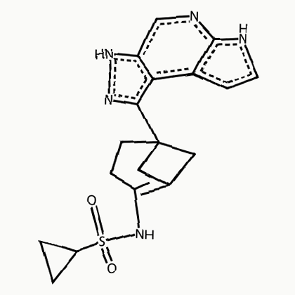 O=S(=O)(NC1=C2CC(c3n[nH]c4cnc5[nH]ccc5c34)(CC1)C2)C1CC1